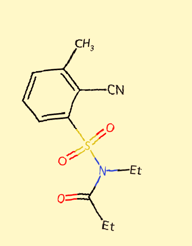 CCC(=O)N(CC)S(=O)(=O)c1cccc(C)c1C#N